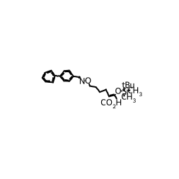 CC(C)(C)[Si](C)(C)OC(=CCCCCON=Cc1ccc(-c2ccccc2)cc1)C(=O)O